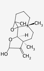 C=C1C(O)O[C@H]2C34OC3(C)CCC[C@]4(C)CC[C@@]12C